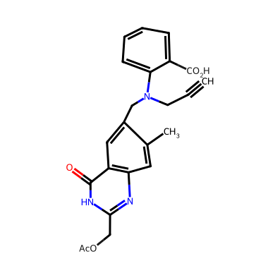 C#CCN(Cc1cc2c(=O)[nH]c(COC(C)=O)nc2cc1C)c1ccccc1C(=O)O